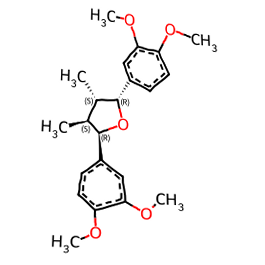 COc1ccc([C@@H]2O[C@@H](c3ccc(OC)c(OC)c3)[C@@H](C)[C@@H]2C)cc1OC